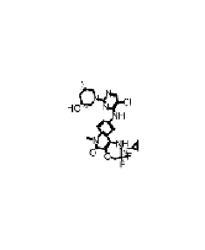 C[C@H]1C[C@H](O)CN(c2ncc(Cl)c(Nc3ccc4c(c3)c3c(c(=O)n4C)OCC(F)(F)[C@H](C4CC4)N3)n2)C1